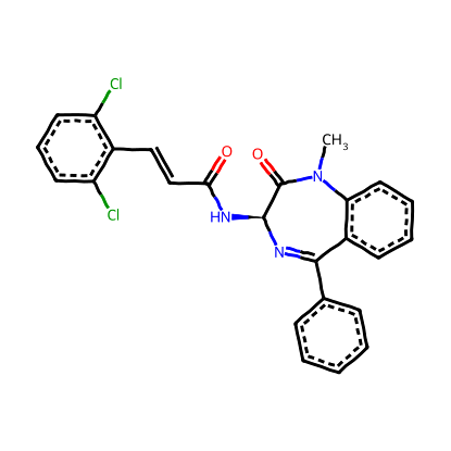 CN1C(=O)[C@H](NC(=O)/C=C/c2c(Cl)cccc2Cl)N=C(c2ccccc2)c2ccccc21